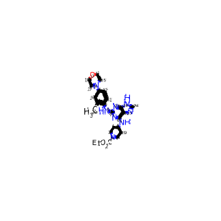 CCOC(=O)N1CCC(Nc2nc(Nc3ccc(N4CCOCC4)cc3C)nc3[nH]cnc23)CC1